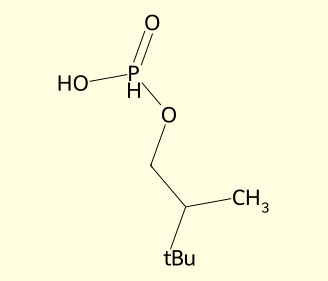 CC(CO[PH](=O)O)C(C)(C)C